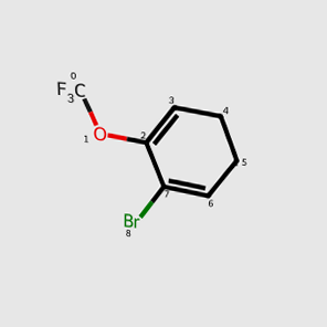 FC(F)(F)OC1=CC[CH]C=C1Br